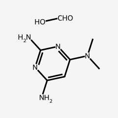 CN(C)c1cc(N)nc(N)n1.O=CO